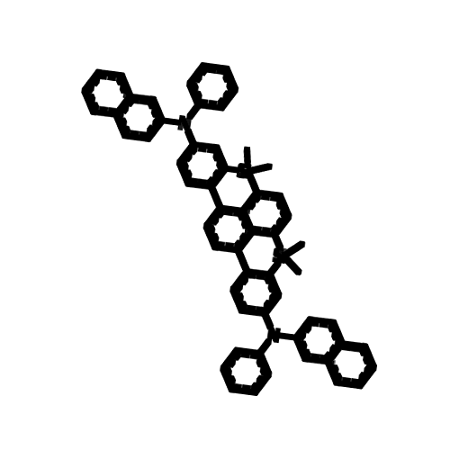 C[Si]1(C)c2cc(N(c3ccccc3)c3ccc4ccccc4c3)ccc2-c2ccc3c4c(ccc1c24)[Si](C)(C)c1cc(N(c2ccccc2)c2ccc4ccccc4c2)ccc1-3